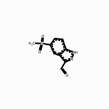 CS(=O)(=O)c1ccc2[nH]nc(C=O)c2c1